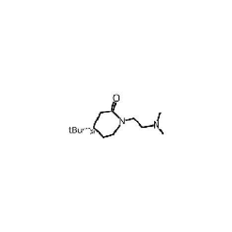 CN(C)CCN1CC[C@H](C(C)(C)C)CC1=O